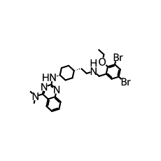 CCOc1c(Br)cc(Br)cc1CNCC[C@H]1CC[C@@H](Nc2nc(N(C)C)c3ccccc3n2)CC1